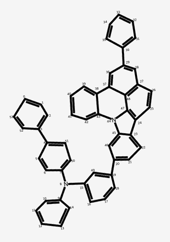 c1ccc(-c2ccc(N(c3ccccc3)c3cccc(-c4ccc5c6ccc7cc(-c8ccccc8)cc8c9ccccc9n(c5c4)c6c78)c3)cc2)cc1